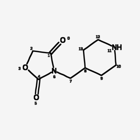 O=C1COC(=O)N1CC1CCNCC1